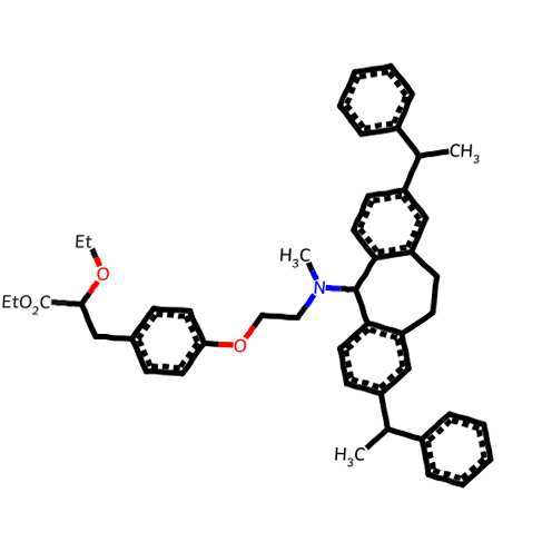 CCOC(=O)C(Cc1ccc(OCCN(C)C2c3ccc(C(C)c4ccccc4)cc3CCc3cc(C(C)c4ccccc4)ccc32)cc1)OCC